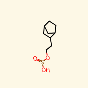 O=S(O)OCCC1CC2CCC1C2